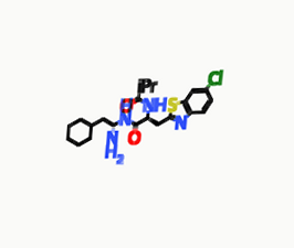 CC(C)C(=O)N[C@@H](Cc1nc2ccc(Cl)cc2s1)C(=O)N[C@H](N)CC1CCCCC1